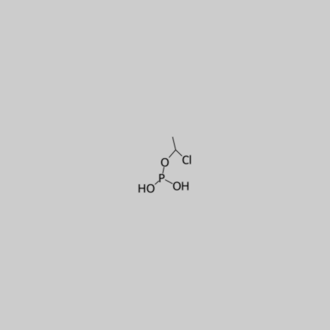 CC(Cl)OP(O)O